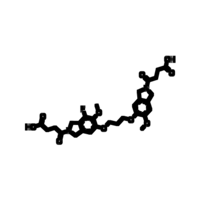 COc1cc2c(cc1OCCCOc1cc3c(c(F)c1OC)CN(C(=O)CCC(=O)O)C3)CN(C(=O)CCC(=O)O)C2